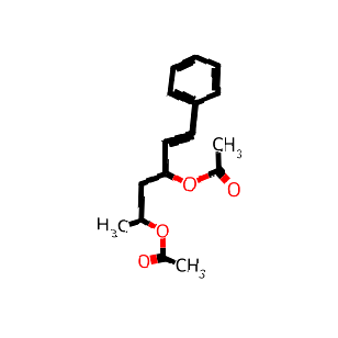 CC(=O)OC(C)CC(C=Cc1ccccc1)OC(C)=O